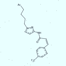 CC(=O)CCCCn1ccc(NC(=O)/C=C\c2ccc(C(F)(F)F)cc2)n1